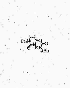 CCN1CCC(OC(=O)OC(C)(C)C)N(O)C1=O